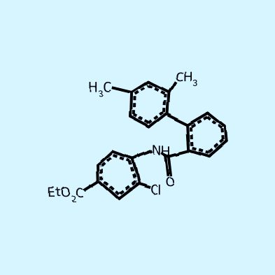 CCOC(=O)c1ccc(NC(=O)c2ccccc2-c2ccc(C)cc2C)c(Cl)c1